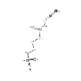 CS(=O)(=O)SCCOC(=O)CN=[N+]=[N-]